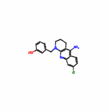 Nc1c2c(nc3cc(Cl)ccc13)N(Cc1cccc(O)c1)CCC2